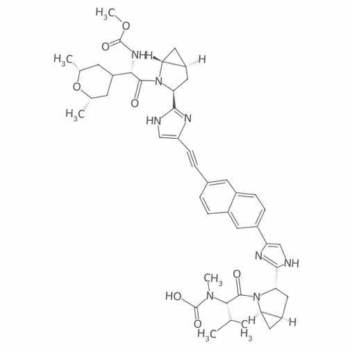 COC(=O)N[C@H](C(=O)N1[C@@H]2C[C@H]2C[C@H]1c1nc(C#Cc2ccc3cc(-c4c[nH]c([C@@H]5C[C@H]6C[C@H]6N5C(=O)[C@H](C(C)C)N(C)C(=O)O)n4)ccc3c2)c[nH]1)C1C[C@@H](C)O[C@@H](C)C1